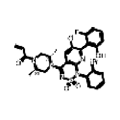 C=CC(=O)N1C[C@H](C)N(C2=NS(=O)(=O)N(c3ccccc3C(C)C)c3nc(-c4c(O)cccc4F)c(Cl)cc32)C[C@H]1C